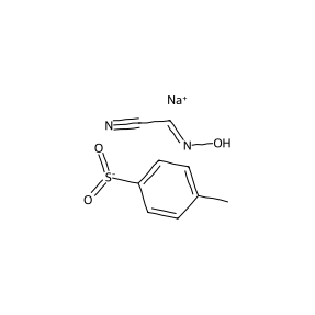 Cc1ccc([S-](=O)=O)cc1.N#CC=NO.[Na+]